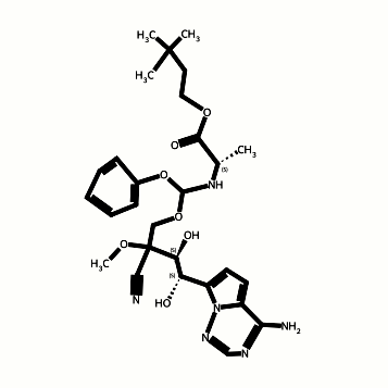 COC(C#N)(COC(N[C@@H](C)C(=O)OCCC(C)(C)C)Oc1ccccc1)[C@@H](O)[C@@H](O)c1ccc2c(N)ncnn12